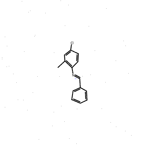 Cc1cc(Cl)ccc1/N=C/c1ccccc1